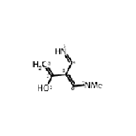 C=C(O)/C(C=N)=C/NC